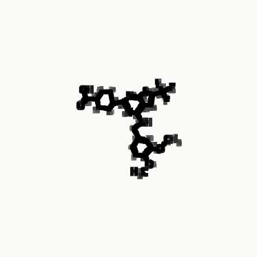 COc1ccc(CNc2nc(C3CCC(C(=O)O)CC3)nc3sc(C(F)(F)F)cc23)cc1OC